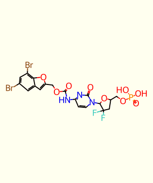 O=C(Nc1ccn(C2OC(COP(=O)(O)O)CC2(F)F)c(=O)n1)OCc1cc2cc(Br)cc(Br)c2o1